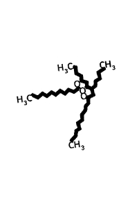 CCCCCCCCCCCC(=O)CC(CCCCCC)C(CCCCCC)OC(=O)CCCCCCCCCCC